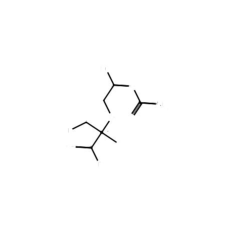 CCC(COC(C)(CF)C(F)F)OC(N)=O